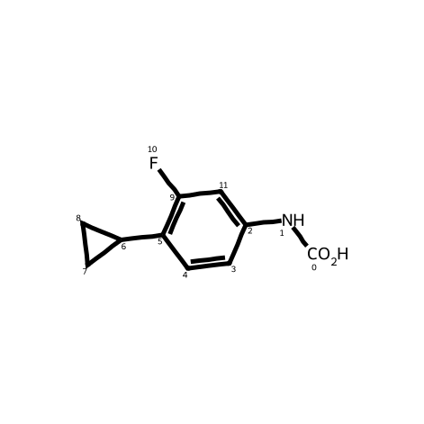 O=C(O)Nc1ccc(C2CC2)c(F)c1